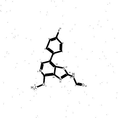 COc1ncc(-c2ccc(F)cc2)c2sc(NC=O)nc12